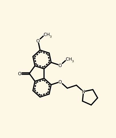 COc1cc(OC)c2c(c1)C(=O)c1cccc(OCCN3CCCC3)c1-2